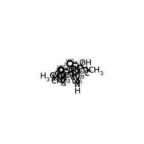 CC(C)CC[C@H](O)[C@H](CC1CCCCC1)NC(=O)[C@H](Cc1c[nH]cn1)N(C)C(=O)[C@H](Cc1ccccc1)OC(=O)N1CCCN1C(=O)C(C)C